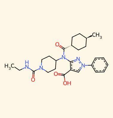 CCNC(=O)N1CCC(N(c2nn(-c3ccccc3)cc2C(=O)O)C(=O)[C@H]2CC[C@H](C)CC2)CC1